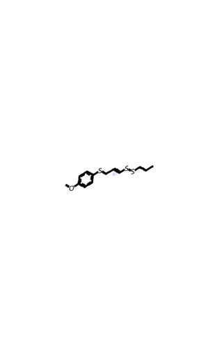 CCCSS/C=C/CSc1ccc(OC)cc1